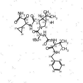 C=C(C)[C@H](NC(=O)N[C@H](C(=O)N1C[C@H]2[C@@H]([C@H]1C(=O)NC(C(=O)C(N)=O)C1CC1)C2(C)C)C(C)(C)C)C(=O)NCc1ccccc1